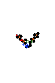 C[C@@]1(c2cccc(-c3cc(Cl)cc(Cl)c3)c2)Cn2ccnc2C(N)=N1.[Pd].c1ccc(P(c2ccccc2)c2ccccc2)cc1.c1ccc(P(c2ccccc2)c2ccccc2)cc1.c1ccc(P(c2ccccc2)c2ccccc2)cc1.c1ccc(P(c2ccccc2)c2ccccc2)cc1